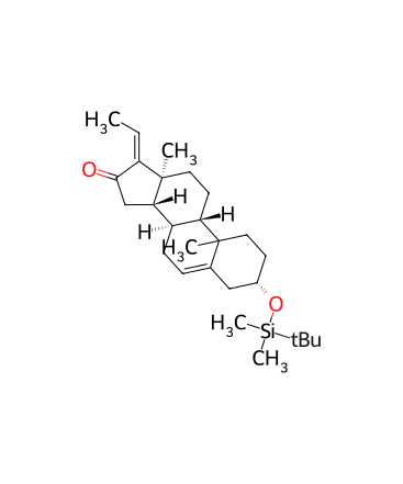 C/C=C1\C(=O)C[C@H]2[C@@H]3CC=C4C[C@@H](O[Si](C)(C)C(C)(C)C)CCC4(C)[C@H]3CC[C@]12C